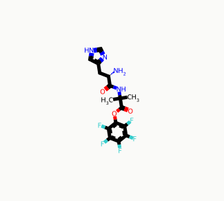 CC(C)(NC(=O)[C@@H](N)Cc1c[nH]cn1)C(=O)Oc1c(F)c(F)c(F)c(F)c1F